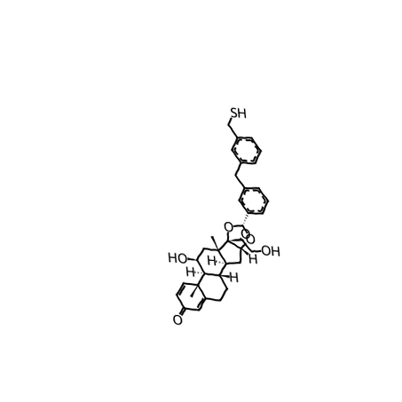 C[C@]12C=CC(=O)C=C1CC[C@@H]1[C@@H]2[C@@H](O)C[C@@]2(C)[C@H]1C[C@H]1O[C@@H](c3cccc(Cc4cccc(CS)c4)c3)O[C@]12C(=O)CO